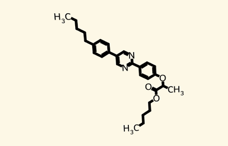 CCCCCOC(=O)C(C)Oc1ccc(-c2ncc(-c3ccc(CCCCC)cc3)cn2)cc1